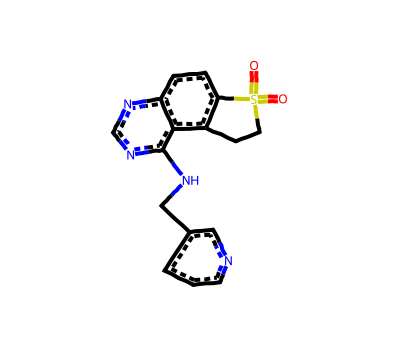 O=S1(=O)CCc2c1ccc1ncnc(NCc3cccnc3)c21